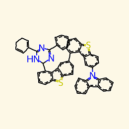 C1=CC(C2=NC(c3ccccc3)=NC(c3cccc4sc5ccc(-c6cccc7sc8ccc(-n9c%10ccccc%10c%10ccccc%109)cc8c67)cc5c34)N2)=CCC1